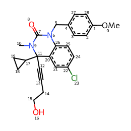 COc1ccc(CN2C(=O)N(C)C(C#CCCO)(C3CC3)c3cc(Cl)ccc32)cc1